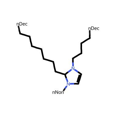 CCCCCCCCCCCCCCCCCC1N(CCCCCCCCC)C=CN1CCCCCCCCCCCCCC